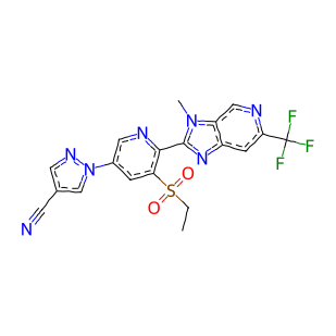 CCS(=O)(=O)c1cc(-n2cc(C#N)cn2)cnc1-c1nc2cc(C(F)(F)F)ncc2n1C